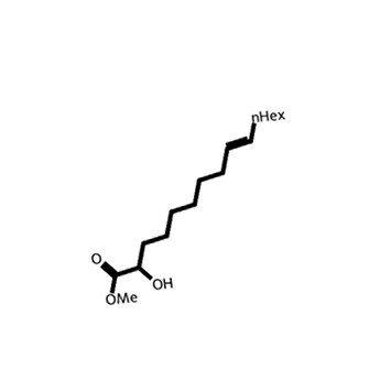 CCCCCCC=CCCCCCCC(O)C(=O)OC